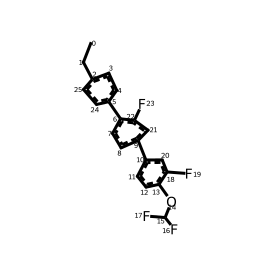 CCc1ccc(-c2ccc(-c3ccc(OC(F)F)c(F)c3)cc2F)cc1